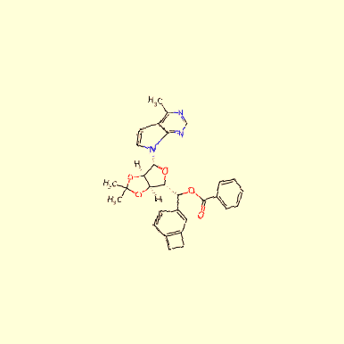 Cc1ncnc2c1ccn2[C@@H]1O[C@H](C(OC(=O)c2ccccc2)c2ccc3c(c2)CC3)[C@H]2OC(C)(C)O[C@H]21